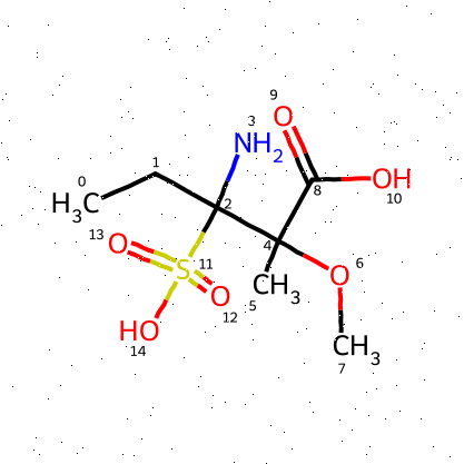 CCC(N)(C(C)(OC)C(=O)O)S(=O)(=O)O